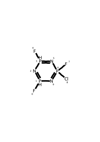 F[PH]1=N[PH](F)=NP(F)(Cl)=N1